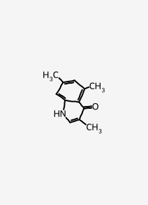 Cc1cc(C)c2c(=O)c(C)c[nH]c2c1